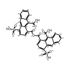 O=C(OC(=O)c1ccc(S(=O)(=O)O)c2cc3ccccc3c(C(=O)O)c12)c1ccc(S(=O)(=O)O)c2cc3ccccc3c(C(=O)O)c12